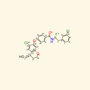 O=C(NC(F)Cc1cccc(Cl)c1)c1ccc(Oc2cc3c(cc2Cl)C(C(=O)O)CCO3)cc1